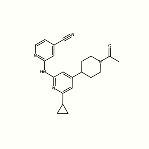 CC(=O)N1CCC(c2cc(Nc3cc(C#N)ccn3)nc(C3CC3)c2)CC1